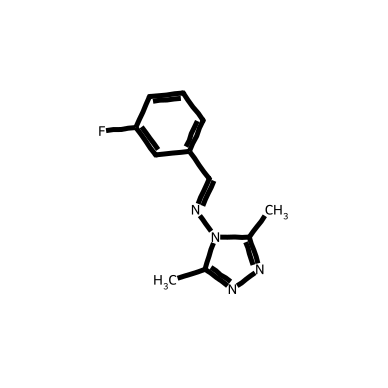 Cc1nnc(C)n1/N=C/c1cccc(F)c1